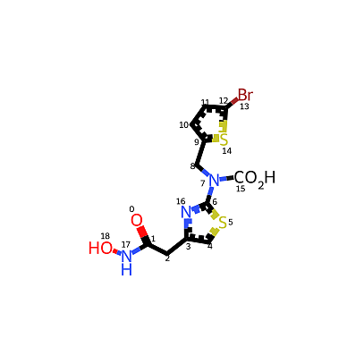 O=C(Cc1csc(N(Cc2ccc(Br)s2)C(=O)O)n1)NO